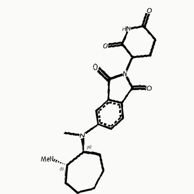 CN[C@H]1CCCCC[C@@H]1N(C)c1ccc2c(c1)C(=O)N(C1CCC(=O)NC1=O)C2=O